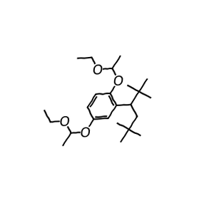 CCOC(C)Oc1ccc(OC(C)OCC)c(C(CC(C)(C)C)C(C)(C)C)c1